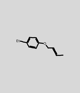 C/C=C/COc1ccc(CC)cc1